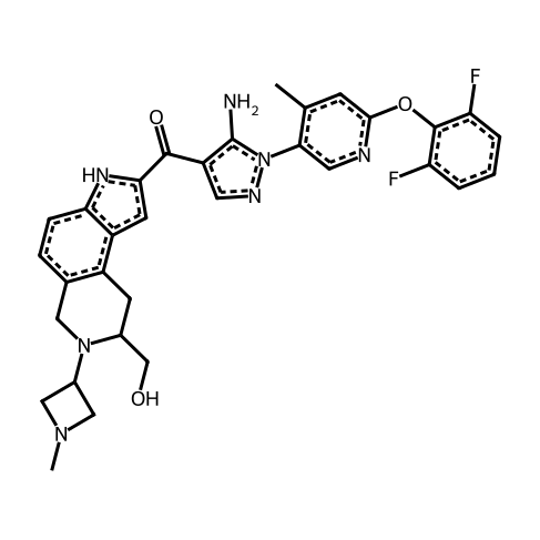 Cc1cc(Oc2c(F)cccc2F)ncc1-n1ncc(C(=O)c2cc3c4c(ccc3[nH]2)CN(C2CN(C)C2)C(CO)C4)c1N